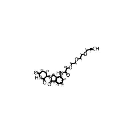 C#CCOCCOCCOCC(=O)Nc1cccc2c1CN(C1CCC(=O)NC1=O)C2=O